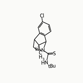 C[C@H]1C2CCN(C(=S)NC(C)(C)C)C1c1ccc(Cl)cc12